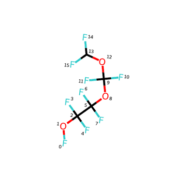 FOC(F)(F)C(F)(F)OC(F)(F)OC(F)F